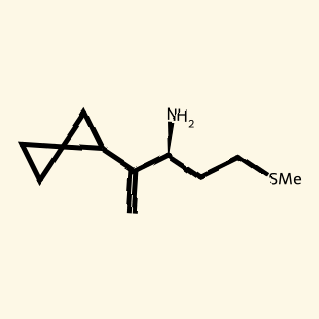 C=C(C1CC12CC2)[C@@H](N)CCSC